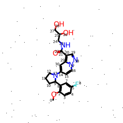 COc1ccc(F)cc1C1CCCN1c1ccn2ncc(C(=O)NCC(O)CO)c2c1